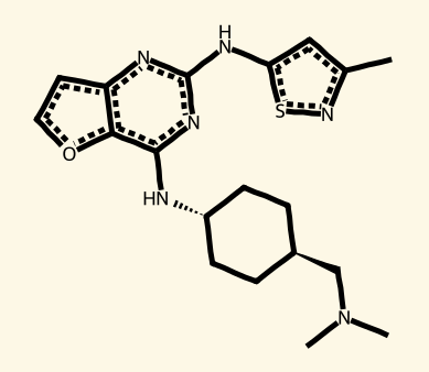 Cc1cc(Nc2nc(N[C@H]3CC[C@H](CN(C)C)CC3)c3occc3n2)sn1